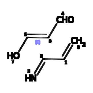 C=CC=N.O=C/C=C/O